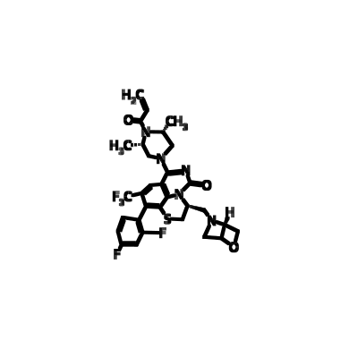 C=CC(=O)N1[C@H](C)CN(c2nc(=O)n3c4c(c(-c5ccc(F)cc5F)c(C(F)(F)F)cc24)SC[C@@H]3CN2CC3OC[C@H]32)C[C@@H]1C